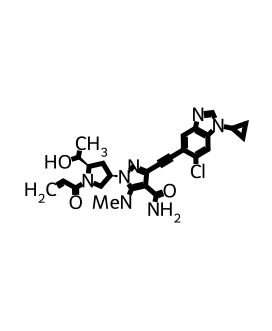 C=CC(=O)N1C[C@@H](n2nc(C#Cc3cc4ncn(C5CC5)c4cc3Cl)c(C(N)=O)c2NC)C[C@@H]1C(C)O